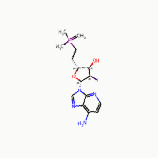 C=P(C)(C)CC[C@H]1O[C@@H](n2cnc3c(N)ccnc32)[C@H](I)[C@@H]1O